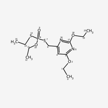 CCOc1cc(CSP(=O)(OCC)SCC)nc(OCC)n1